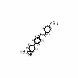 CCCCC1CCC(CCc2ccc(C3CCC(C#N)(CCCC)CC3)cc2)CC1